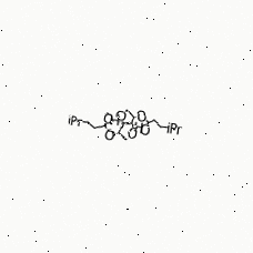 CC(C)CCC(=O)O[C@H]1CO[C@H]2[C@@H]1OC[C@@H]2OC(=O)CCC(C)C